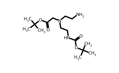 CC(C)(C)OC(=O)CN(CCN)CCNC(=O)OC(C)(C)C